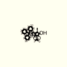 CC1(C)OC2C(O)C(I)=C(COC(c3ccccc3)(c3ccccc3)c3ccccc3)[C@H]2O1